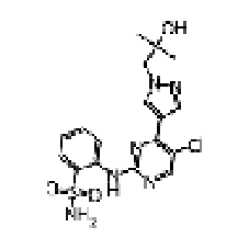 CC(C)(O)Cn1cc(-c2nc(Nc3ccccc3S(N)(=O)=O)ncc2Cl)cn1